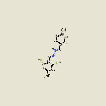 CCCCc1cc(F)c(/C=N/N=C/c2ccc(C#N)cc2)c(F)c1